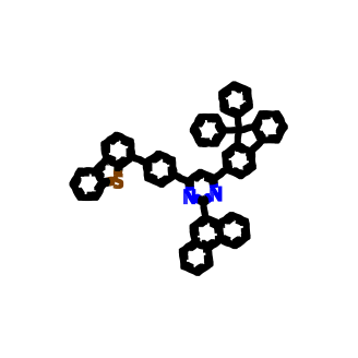 c1ccc(C2(c3ccccc3)c3ccccc3-c3ccc(-c4cc(-c5ccc(-c6cccc7c6sc6ccccc67)cc5)nc(-c5cc6ccccc6c6ccccc56)n4)cc32)cc1